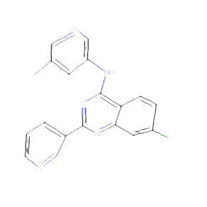 Clc1cncc(Nc2nc(-c3cccnc3)nc3cc(Cl)ccc23)c1